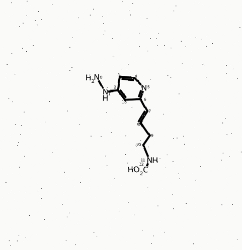 NNc1ccnc(C=CCCNC(=O)O)c1